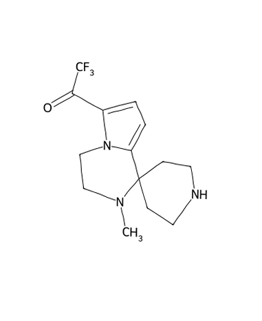 CN1CCn2c(C(=O)C(F)(F)F)ccc2C12CCNCC2